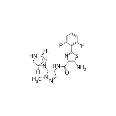 Cn1ncc(NC(=O)c2nc(-c3c(F)cccc3F)sc2N)c1N1C[C@@H]2C[C@H]1CN2